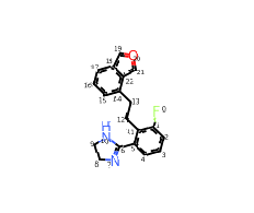 Fc1cccc(C2=NCCN2)c1CCc1cccc2cocc12